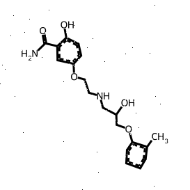 Cc1ccccc1OCC(O)CNCCOc1ccc(O)c(C(N)=O)c1